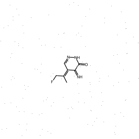 C/C(CF)=C1/C=NNC(=O)C1=N